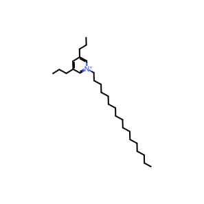 CCCCCCCCCCCCCCCCC[n+]1cc(CCC)cc(CCC)c1